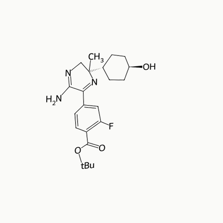 CC(C)(C)OC(=O)c1ccc(C2=NC(C)([C@H]3CC[C@H](O)CC3)CN=C2N)cc1F